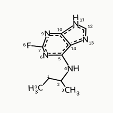 CCC(C)Nc1nc(F)nc2[nH]cnc12